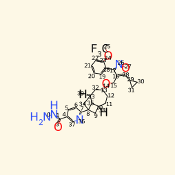 NNC(=O)c1ccc(C23C[C@@H]4CC[C@@H](OCc5c(-c6ccccc6OC(F)(F)F)noc5C5CC5)C[C@@H](C2)C43)nc1